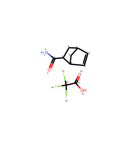 NC(=O)C1CC2C=CC1C2.O=C(O)C(F)(F)F